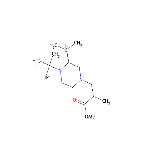 COC(=O)C(C)CN1CCN(C(C)(C)C(C)C)C([SiH](C)C)C1